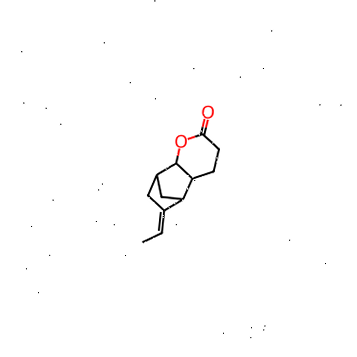 CC=C1CC2CC1C1CCC(=O)OC21